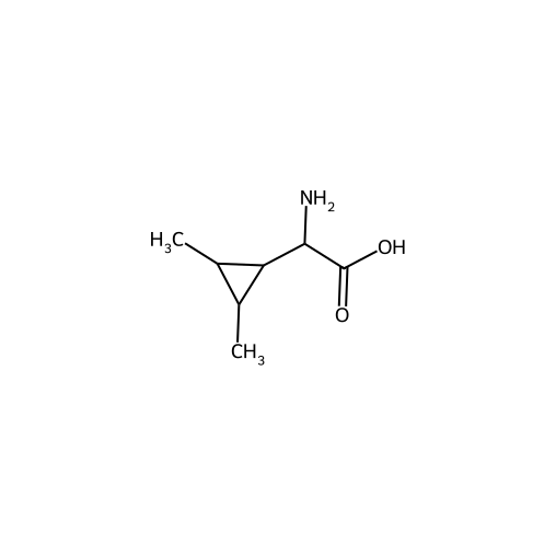 CC1C(C)C1C(N)C(=O)O